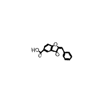 O=C(O)c1ccc2c(c1)C(=O)C(=Cc1ccccc1)O2